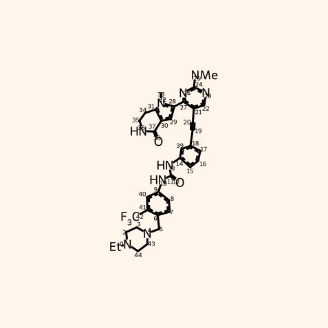 CCN1CCN(Cc2ccc(NC(=O)Nc3cccc(C#Cc4cnc(NC)nc4-c4cc5c(n4C)CCNC5=O)c3)cc2C(F)(F)F)CC1